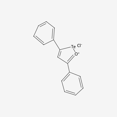 [Cl-].c1ccc(-c2cc(-c3ccccc3)[te][o+]2)cc1